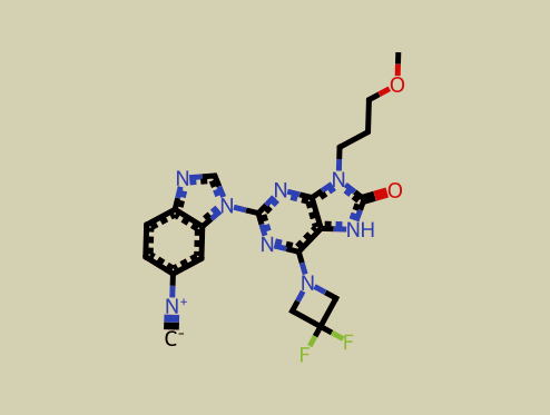 [C-]#[N+]c1ccc2ncn(-c3nc(N4CC(F)(F)C4)c4[nH]c(=O)n(CCCOC)c4n3)c2c1